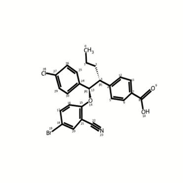 CCC[C@H](c1ccc(C(=O)O)cc1)[C@@H](Oc1ccc(Br)cc1C#N)c1ccc(Cl)cc1